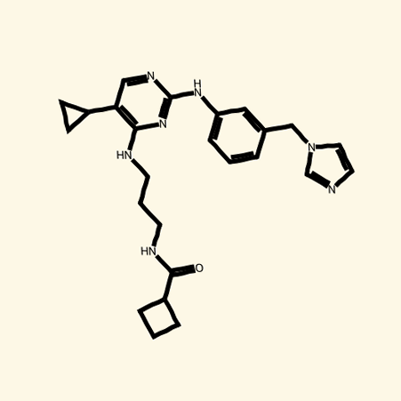 O=C(NCCCNc1nc(Nc2cccc(Cn3ccnc3)c2)ncc1C1CC1)C1CCC1